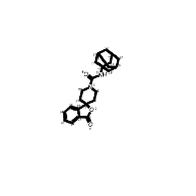 O=C1OC2(CCN(C(=O)NC34CC5CC(CC(C5)C3)C4)CC2)c2ccccc21